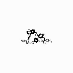 CCN(CC)[C@@H](C)C[C@H]1C[C@H](c2ccc(OC)cc2)[C@@H](OCc2ccc3c(c2)N(CCCOC)CCO3)CN1